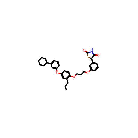 CCCc1cc(Oc2cccc(C3CCCCC3)c2)ccc1OCCCOc1cccc(C2SC(=O)NC2=O)c1